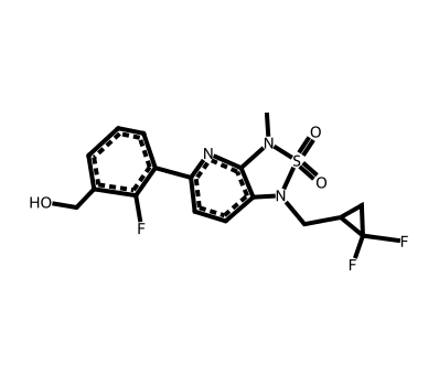 CN1c2nc(-c3cccc(CO)c3F)ccc2N(CC2CC2(F)F)S1(=O)=O